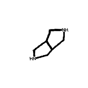 [CH]1NCC2CNCC12